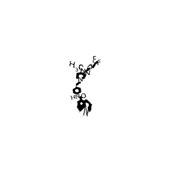 Cn1c(OCC(F)F)nc2c1CCN(CC[C@H]1CC[C@H](NC(=O)c3cccc4ncccc34)CC1)C2